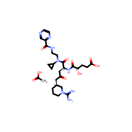 CC(=O)O.N=C(N)N1CCC[C@@H](CC(=O)C[C@H](NC(=O)[C@@H](O)CCC(=O)O)C(=O)N(CCNC(=O)c2cnccn2)C2CC2)C1